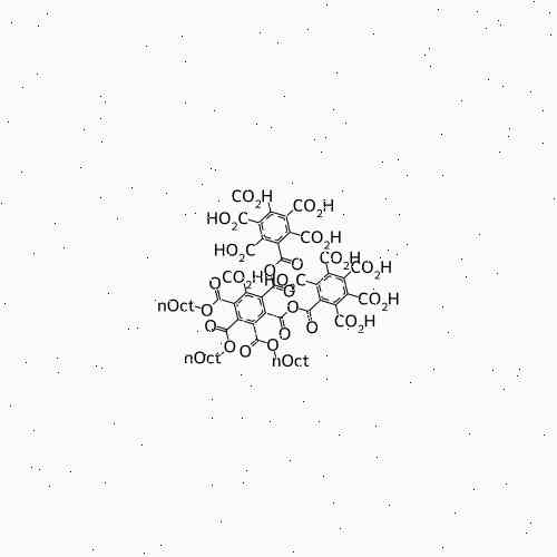 CCCCCCCCOC(=O)c1c(C(=O)O)c(C(=O)OC(=O)c2c(C(=O)O)c(C(=O)O)c(C(=O)O)c(C(=O)O)c2C(=O)O)c(C(=O)OC(=O)c2c(C(=O)O)c(C(=O)O)c(C(=O)O)c(C(=O)O)c2C(=O)O)c(C(=O)OCCCCCCCC)c1C(=O)OCCCCCCCC